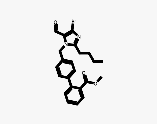 CCCCc1nc(Br)c(C=O)n1Cc1ccc(-c2ccccc2C(=O)OC)cc1